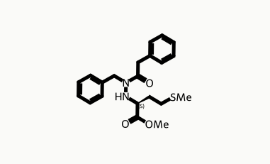 COC(=O)[C@H](CCSC)NN(Cc1ccccc1)C(=O)Cc1ccccc1